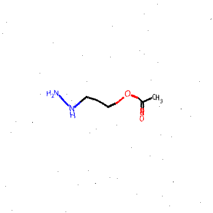 CC(=O)OCCNN